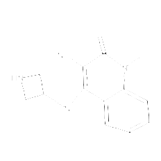 Cn1c(=O)c(C#N)c(NC2CNC2)c2ccccc21